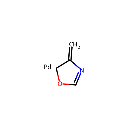 C=C1COC=N1.[Pd]